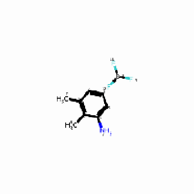 Cc1cccc(N)c1C.FB(F)F